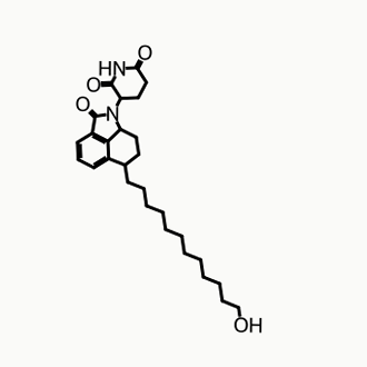 O=C1CCC(N2C(=O)c3cccc4c3C2CCC4CCCCCCCCCCCCO)C(=O)N1